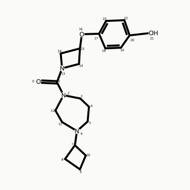 O=C(N1CCCN(C2CCC2)CC1)N1CC(Oc2ccc(O)cc2)C1